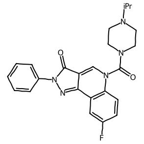 CC(C)N1CCN(C(=O)n2cc3c(=O)n(-c4ccccc4)nc-3c3cc(F)ccc32)CC1